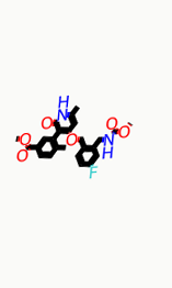 COC(=O)NCc1cc(F)ccc1COc1cc(C)[nH]c(=O)c1-c1cc(C(=O)OC)ccc1C